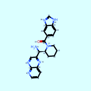 NC(c1cnc2ncccc2n1)[C@@H]1CCCCN1C(=O)c1ccc2[nH]cnc2c1